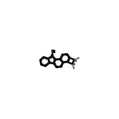 CCn1c2ccccc2c2ccc3c4c(ccc3c21)[C@H](C)[C@@H]4C